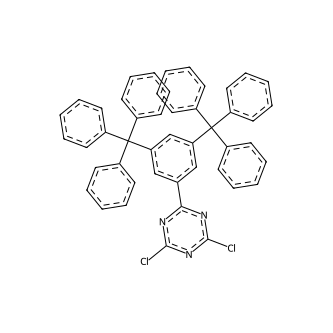 Clc1nc(Cl)nc(-c2cc(C(c3ccccc3)(c3ccccc3)c3ccccc3)cc(C(c3ccccc3)(c3ccccc3)c3ccccc3)c2)n1